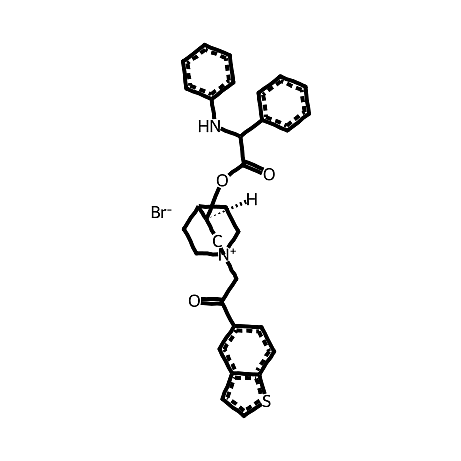 O=C(C[N+]12CCC(CC1)[C@@H](OC(=O)C(Nc1ccccc1)c1ccccc1)C2)c1ccc2sccc2c1.[Br-]